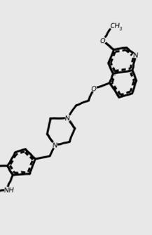 COc1cnc2cccc(OCCN3CCN(Cc4ccc5c(c4)NC(=O)CC5)CC3)c2c1